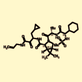 C=CCNC(=O)C(=O)C(CC1CC1)NC(=O)[C@@H]1[C@@H]2[C@H](CN1C(=O)[C@@H](NC(=O)[C@@H](NS(=O)(=O)C(C)(C)C)C1CCCCC1)C(C)(C)C)C2(C)C